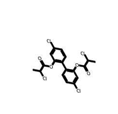 CC(Cl)C(=O)Oc1cc(Cl)ccc1-c1ccc(Cl)cc1OC(=O)C(C)Cl